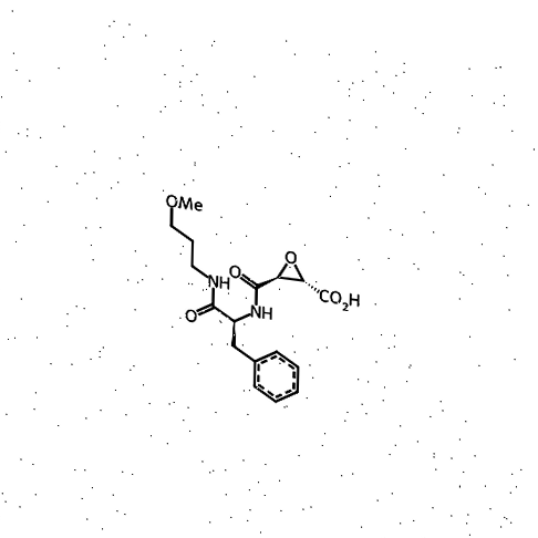 COCCCNC(=O)[C@H](Cc1ccccc1)NC(=O)[C@H]1O[C@@H]1C(=O)O